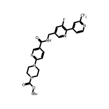 CC(C)(C)OC(=O)N1CCN(c2ccc(C(=O)NCc3cnc(-c4ccnc(C(F)(F)F)c4)c(F)c3)cn2)CC1